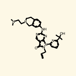 C=CCn1c(=O)c2cnc(Nc3ccc4c(c3)CN(CCN(C)C)CC4)nc2n1-c1cccc(C(C)(C)O)n1